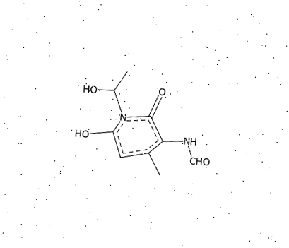 Cc1cc(O)n(C(C)O)c(=O)c1NC=O